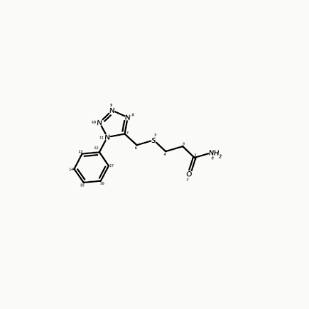 NC(=O)CCSCc1nnnn1-c1ccccc1